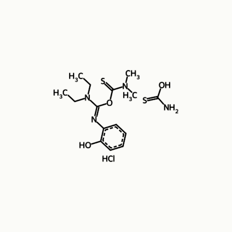 CCN(CC)C(=Nc1ccccc1O)OC(=S)N(C)C.Cl.NC(O)=S